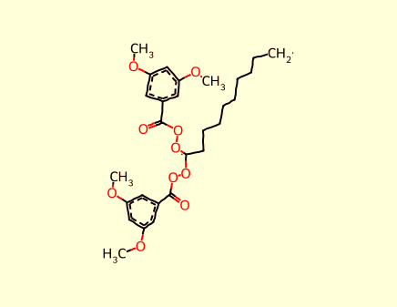 [CH2]CCCCCCCC[C](OOC(=O)c1cc(OC)cc(OC)c1)OOC(=O)c1cc(OC)cc(OC)c1